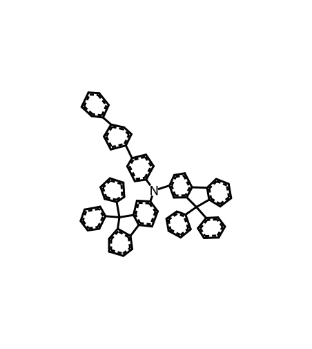 c1ccc(-c2ccc(-c3ccc(N(c4ccc5c(c4)C(c4ccccc4)(c4ccccc4)c4ccccc4-5)c4ccc5c(c4)C(c4ccccc4)(c4ccccc4)c4ccccc4-5)cc3)cc2)cc1